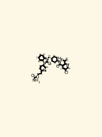 NC(=O)OCCc1ccc(-n2c(=O)n(C[C@H]3CC[C@H](NC(=O)c4cc(Cl)cnc4C(F)F)CC3)c3ccccc32)cn1